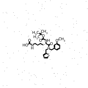 COc1cccc(CN(Cc2cccs2)C(=O)[C@H](CCCCNC(=O)O)NC(=O)OC(C)(C)C)c1